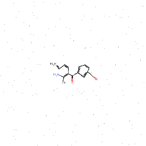 C=C/C=C\C(C(=O)c1cccc(Br)c1)=C(/N)C#N